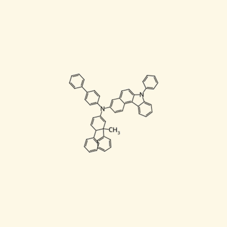 CC1(c2ccccc2)C=C(N(c2ccc(-c3ccccc3)cc2)c2ccc3c(ccc4c3c3ccccc3n4-c3ccccc3)c2)C=CC1c1ccccc1